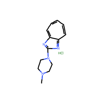 CN1CCN(c2nc3cccccc-3n2)CC1.Cl